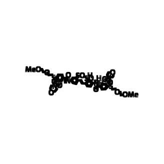 COCCOCCSc1ccc(C(=O)Nc2ccc(/C=C/c3ccc(NC(=O)c4ccc(SCCOCCOC)c(S(=O)(=O)N5CCOCC5)c4)cc3S(=O)(=O)O)c(S(=O)(=O)O)c2)cc1S(=O)(=O)N1CCOCC1